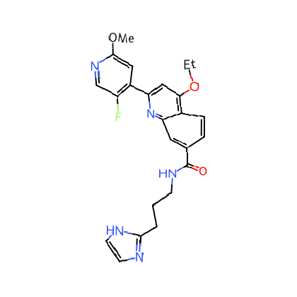 CCOc1cc(-c2cc(OC)ncc2F)nc2cc(C(=O)NCCCc3ncc[nH]3)ccc12